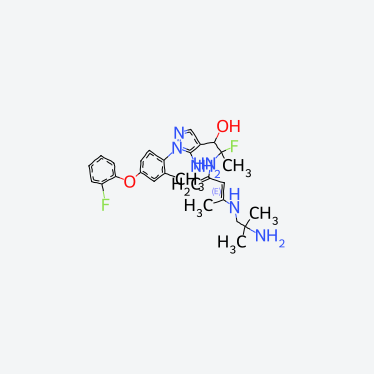 C=C(/C=C(\C)NCC(C)(C)N)NC(C)(F)C(O)c1cnn(-c2ccc(Oc3ccccc3F)cc2C)c1N